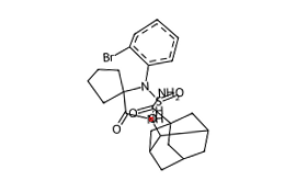 NC(=O)C12CC3CC(C1)C(NC(=O)C1(N(c4ccccc4Br)[SH](=O)=O)CCCC1)C(C3)C2